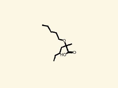 CCCCCOC(C)(CCCC)C(=O)O